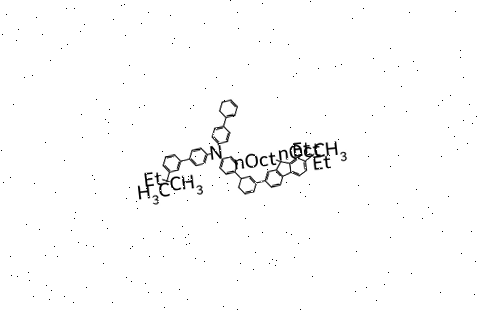 CCCCCCCCC1(CCCCCCCC)c2cc(C3=CC(c4ccc(N(c5ccc(C6=CC=CCC6)cc5)c5ccc(-c6cccc(C(C)(C)CC)c6)cc5)cc4)CC=C3)ccc2-c2ccc(C(C)(CC)CC)cc21